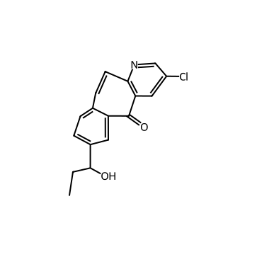 CCC(O)c1ccc2ccc3ncc(Cl)cc3c(=O)c2c1